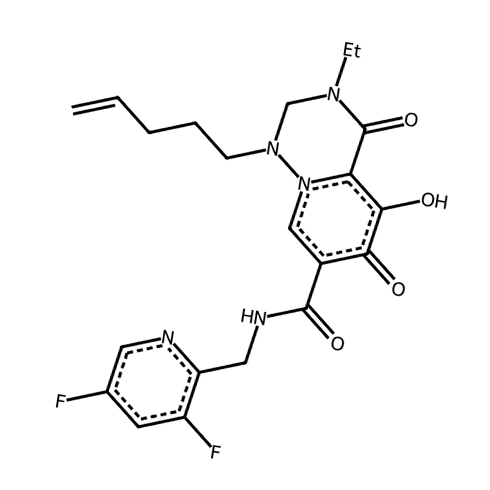 C=CCCCN1CN(CC)C(=O)c2c(O)c(=O)c(C(=O)NCc3ncc(F)cc3F)cn21